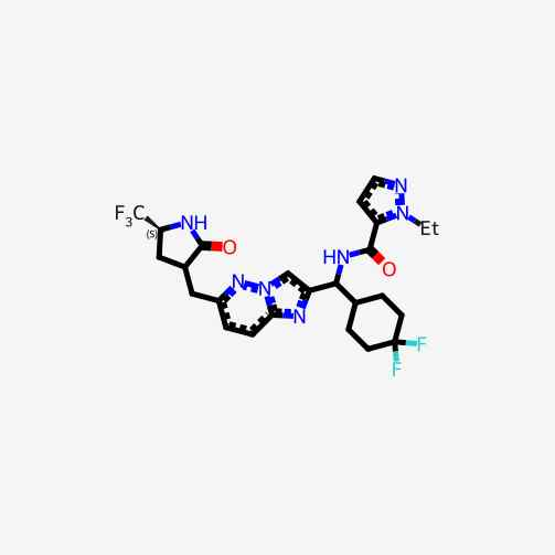 CCn1nccc1C(=O)NC(c1cn2nc(CC3C[C@@H](C(F)(F)F)NC3=O)ccc2n1)C1CCC(F)(F)CC1